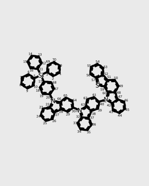 c1ccc([Si](c2ccccc2)(c2ccccc2)c2ccc(-n3c4ccccc4c4cc(-n5c6ccccc6c6cc(-n7c8ccccc8c8ccc9c%10ccccc%10sc9c87)ccc65)ccc43)cc2)cc1